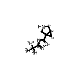 [2H]C([2H])([2H])c1noc(C23CNCC2C3)n1